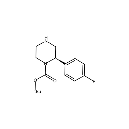 CC(C)(C)OC(=O)N1CCNC[C@H]1c1ccc(F)cc1